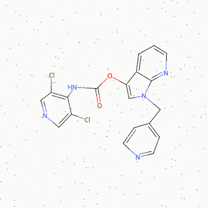 O=C(Nc1c(Cl)cncc1Cl)Oc1cn(Cc2ccncc2)c2ncccc12